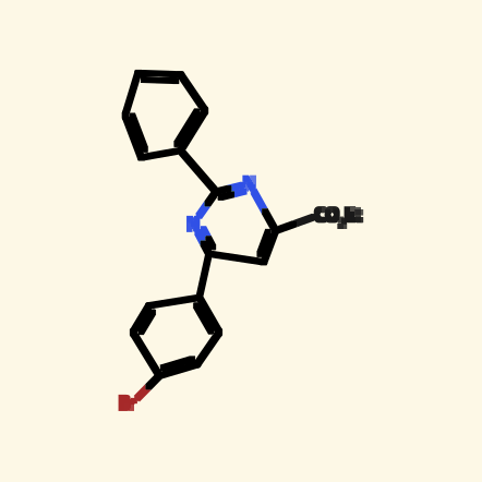 CCOC(=O)c1cc(-c2ccc(Br)cc2)nc(-c2ccccc2)n1